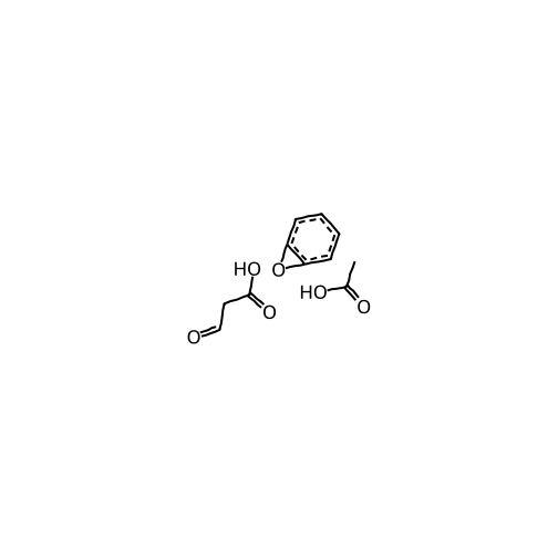 CC(=O)O.O=CCC(=O)O.c1ccc2c(c1)O2